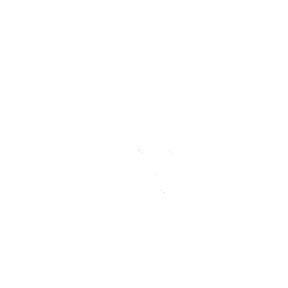 CSc1nc(-c2ccc(C)cc2)nc2cc(=O)[nH]n12